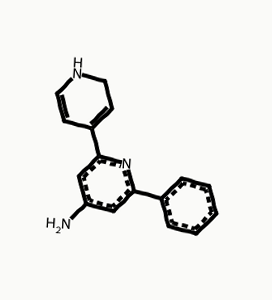 Nc1cc(C2=CCNC=C2)nc(-c2ccccc2)c1